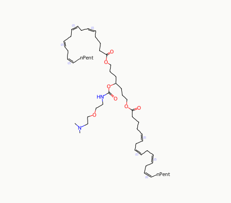 CCCCC/C=C\C/C=C\C/C=C\C/C=C\CCCC(=O)OCCCC(CCCOC(=O)CCC/C=C\C/C=C\C/C=C\C/C=C\CCCCC)OC(=O)NCCOCCN(C)C